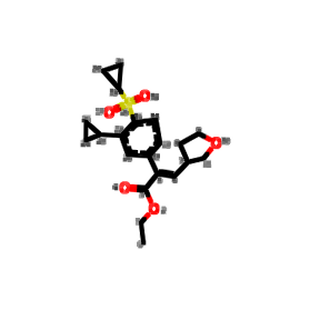 CCOC(=O)/C(=C/C1CCOC1)c1ccc(S(=O)(=O)C2CC2)c(C2CC2)c1